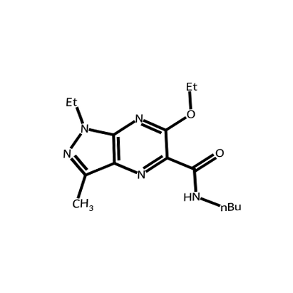 CCCCNC(=O)c1nc2c(C)nn(CC)c2nc1OCC